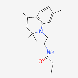 CCC(=O)NCCN1c2cc(C)ccc2C(C)CC1(C)C